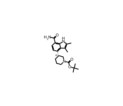 Cc1[nH]c2c(C(N)=O)ccc([C@H]3CCCN(C(=O)OC(C)(C)C)C3)c2c1C